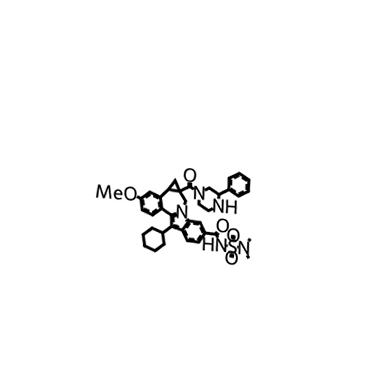 COc1ccc2c(c1)C1CC1(C(=O)N1CCNC(c3ccccc3)C1)Cn1c-2c(C2CCCCC2)c2ccc(C(=O)NS(=O)(=O)N(C)C)cc21